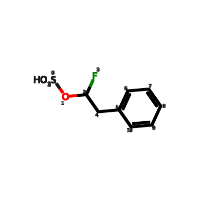 O=S(=O)(O)OC(F)Cc1ccccc1